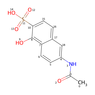 CC(=O)Nc1ccc2c(O)c(S(=O)(=O)O)ccc2c1